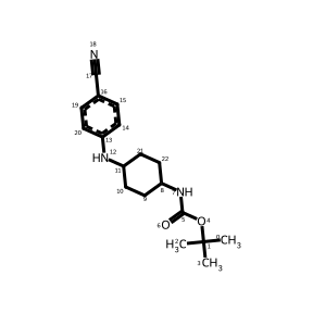 CC(C)(C)OC(=O)NC1CCC(Nc2ccc(C#N)cc2)CC1